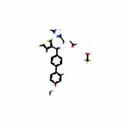 COC(=O)C[C@@H]1N=C(c2ccc(-c3ccc(OCC(=O)O)cc3C#N)cc2)c2c(sc(C)c2C)-n2c(C)nnc21.O=C(O)C(F)(F)F